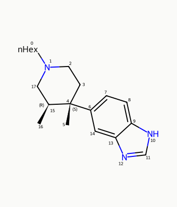 CCCCCCN1CC[C@](C)(c2ccc3[nH]cnc3c2)[C@@H](C)C1